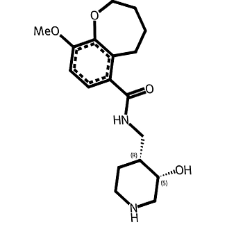 COc1ccc(C(=O)NC[C@H]2CCNC[C@H]2O)c2c1OCCCC2